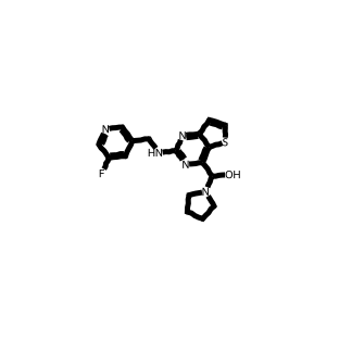 OC(c1nc(NCc2cncc(F)c2)nc2ccsc12)N1CCCC1